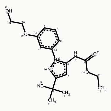 CC(C)(C#N)c1cc(NC(=O)OCC(Cl)(Cl)Cl)n(-c2cccc(OCCO)c2)n1